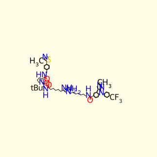 Cc1ncsc1-c1ccc(CNC(=O)C2CCCN2C(=O)C(NC(=O)CCCCC/C(N)=C/N(N)CCCCCCCNC(=O)c2ccc3c(c2)c2cn(C)nc2n3-c2ccc(C(F)(F)F)cc2)C(C)(C)C)cc1